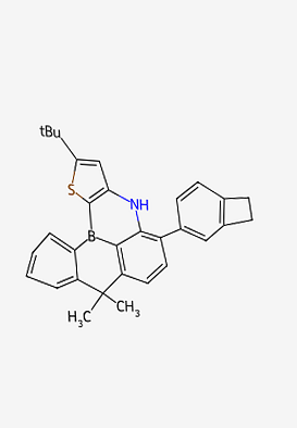 CC(C)(C)c1cc2c(s1)B1c3ccccc3C(C)(C)c3ccc(-c4ccc5c(c4)CC5)c(c31)N2